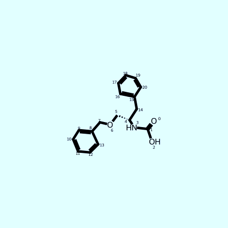 O=C(O)N[C@H](COCc1ccccc1)Cc1ccccc1